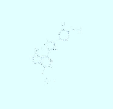 CCOC(=O)CCc1ccc(-c2noc(-c3ccc(OC(C)C)c(Cl)c3)n2)c2c1ccn2C